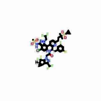 CC(C)(CCc1ccc(-c2ccc(Cl)c3c(NS(C)(=O)=O)nn(CC(F)F)c23)c([C@H](Cc2cc(F)cc(F)c2)NC(=O)Cn2nc(C(F)F)c3c2C(F)(F)[C@@H]2CC32)n1)S(=O)(=O)C1CC1